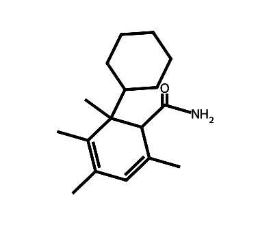 CC1=CC(C)=C(C)C(C)(C2CCCCC2)C1C(N)=O